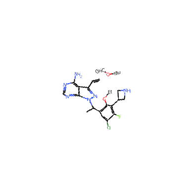 C=Cc1nn(C(C)c2cc(Cl)c(F)c(C3CNC3)c2OCC)c2ncnc(N)c12.CC(C)(C)OC=O